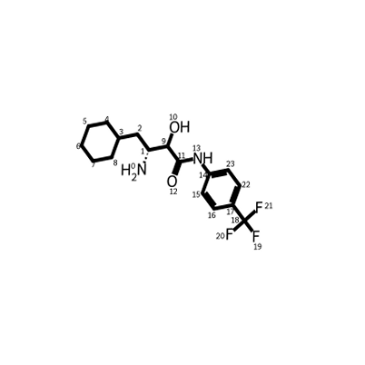 N[C@H](CC1CCCCC1)C(O)C(=O)Nc1ccc(C(F)(F)F)cc1